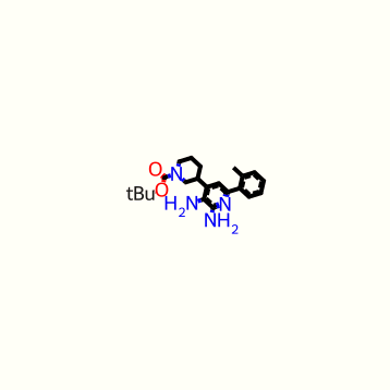 Cc1ccccc1-c1cc(C2CCCN(C(=O)OC(C)(C)C)C2)c(N)c(N)n1